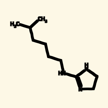 CC(C)CCCCNC1=NCCN1